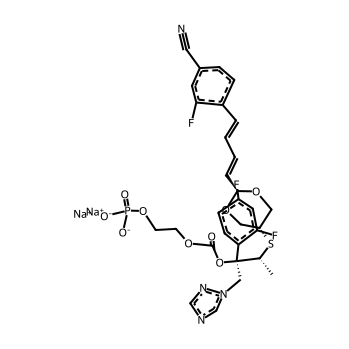 C[C@@H](S[C@H]1CO[C@H](/C=C/C=C/c2ccc(C#N)cc2F)OC1)[C@@](Cn1cncn1)(OC(=O)OCCOP(=O)([O-])[O-])c1ccc(F)cc1F.[Na+].[Na+]